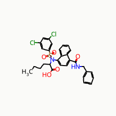 CCCCC(C(=O)O)N(c1ccc(C(=O)NCc2ccccc2)c2ccccc12)S(=O)(=O)c1cc(Cl)cc(Cl)c1